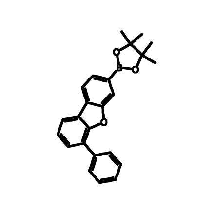 CC1(C)OB(c2ccc3c(c2)oc2c(-c4ccccc4)cccc23)OC1(C)C